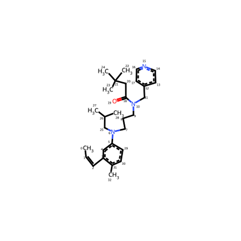 C/C=C\c1cc(N(CCCN(Cc2ccncc2)C(=O)CC(C)(C)C)CC(C)C)ccc1C